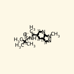 C[C@@H](N[S@+]([O-])C(C)(C)C)c1cnc2c(cnn2C)c1